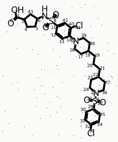 O=C(O)C1CCC(NS(=O)(=O)c2ccc(N3CCC(CCCC4CCN(S(=O)(=O)c5ccc(Cl)cc5)CC4)CC3)c(Cl)c2)C1